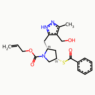 C=CCOC(=O)N1C[C@@H](SC(=O)c2ccccc2)C[C@H]1Cc1[nH]nc(C)c1CO